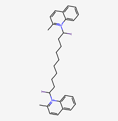 Cc1ccc2ccccc2[n+]1C(I)CCCCCCCCC(I)[n+]1c(C)ccc2ccccc21